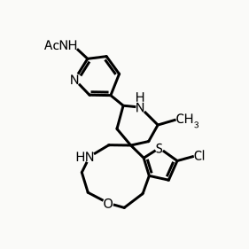 CC(=O)Nc1ccc(C2CC3(CNCCOCCc4cc(Cl)sc43)CC(C)N2)cn1